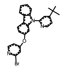 CC(C)(C)c1ccnc(-n2c3ccccc3c3ccc(Oc4ccnc(Br)c4)cc32)c1